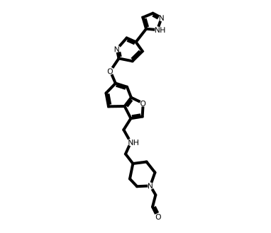 O=CCN1CCC(CNCc2coc3cc(Oc4ccc(-c5ccn[nH]5)cn4)ccc23)CC1